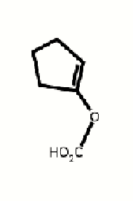 O=C(O)OC1=CCCC1